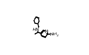 CC(NCC1CCCCC1)c1ccc(N)nc1